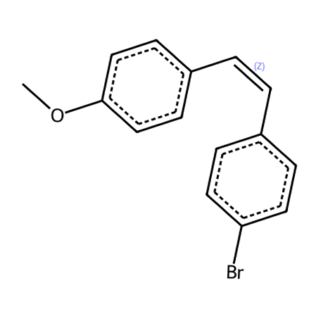 COc1ccc(/C=C\c2ccc(Br)cc2)cc1